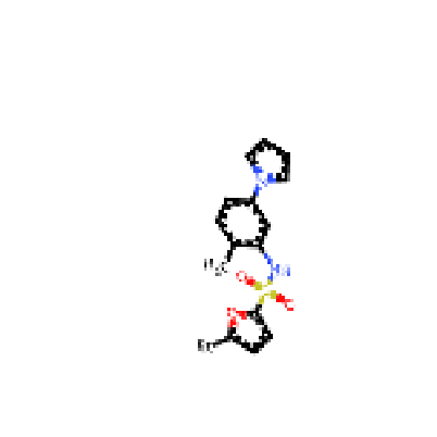 CCc1ccc(S(=O)(=O)Nc2cc(-n3cccc3)ccc2C)o1